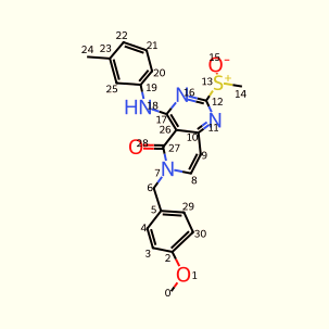 COc1ccc(Cn2ccc3nc([S+](C)[O-])nc(Nc4cccc(C)c4)c3c2=O)cc1